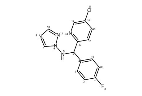 Fc1ccc(C(Nn2cncn2)c2ccc(Cl)cn2)cc1